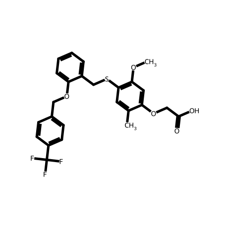 COc1cc(OCC(=O)O)c(C)cc1SCc1ccccc1OCc1ccc(C(F)(F)F)cc1